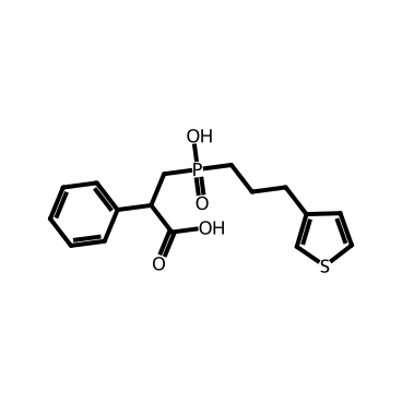 O=C(O)C(CP(=O)(O)CCCc1ccsc1)c1ccccc1